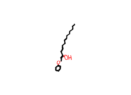 CCCCCCCCCCCCC(O)CCOc1ccccc1